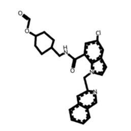 O=COC1CCC(CNC(=O)c2cc(Cl)cc3ccn(Cc4cc5ccccc5cn4)c23)CC1